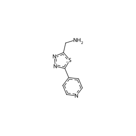 NCc1nnc(-c2ccncc2)s1